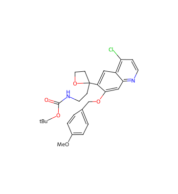 COc1ccc(COc2cc3nccc(Cl)c3cc2C2(CCNC(=O)OC(C)(C)C)CCO2)cc1